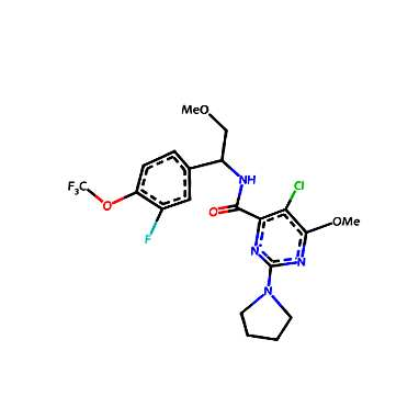 COCC(NC(=O)c1nc(N2CCCC2)nc(OC)c1Cl)c1ccc(OC(F)(F)F)c(F)c1